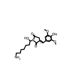 COc1cc(/C=C2\CC(=O)N(C(O)CCCCCCN)C2=O)cc(OC)c1O